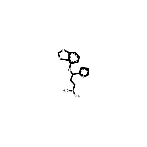 CN(C)CCC(Oc1cccc2c1OCO2)c1cccs1